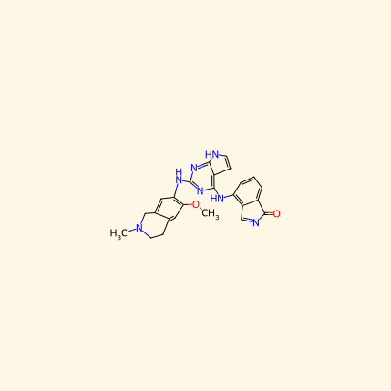 COc1cc2c(cc1Nc1nc(Nc3cccc4c3C=NC4=O)c3cc[nH]c3n1)CN(C)CC2